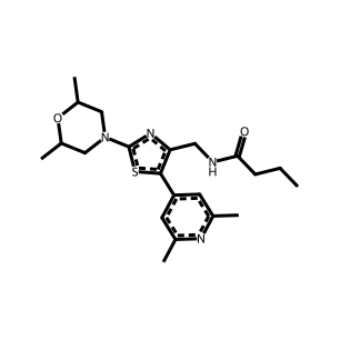 CCCC(=O)NCc1nc(N2CC(C)OC(C)C2)sc1-c1cc(C)nc(C)c1